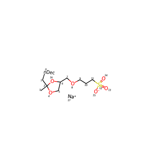 CCCCCCCCCCCC1(C)OCC(COCCCS(=O)(=O)[O-])O1.[Na+]